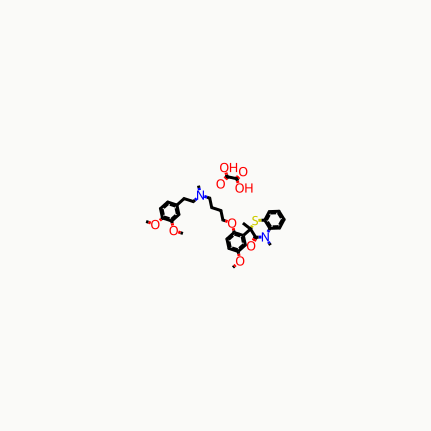 COc1ccc(OCCCCN(C)CCc2ccc(OC)c(OC)c2)c(C2(C)Sc3ccccc3N(C)C2=O)c1.O=C(O)C(=O)O